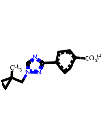 CC1(Cn2cnc(-c3ccc(C(=O)O)cc3)n2)CC1